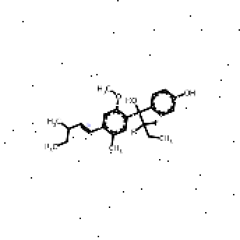 CCC(C)/C=C/c1cc(OC)c(C(O)(c2ccc(O)cc2)C(F)(F)CC)cc1C